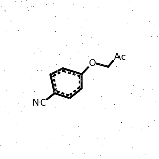 CC(=O)COc1ccc(C#N)cc1